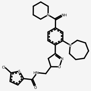 N=C(c1ccc(C2=NOC(CNC(=O)c3ccc(Cl)s3)C2)c(N2CCCCCC2)c1)N1CCCCC1